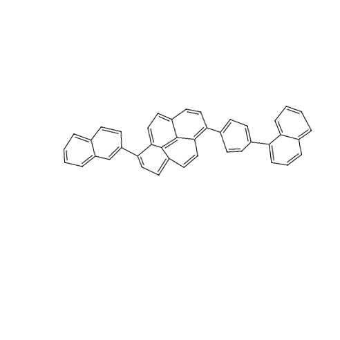 c1ccc2cc(-c3ccc4ccc5c(-c6ccc(-c7cccc8ccccc78)cc6)ccc6ccc3c4c65)ccc2c1